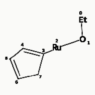 CC[O][Ru][C]1=CC=CC1